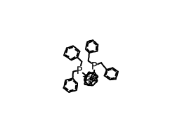 c1ccc(CP(Cc2ccccc2)[C]23[CH]4[CH]5[CH]6[C]2(P(Cc2ccccc2)Cc2ccccc2)[Ti]54632789[CH]3[CH]2[CH]7[CH]8[CH]39)cc1